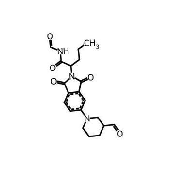 CCCC(C(=O)NC=O)N1C(=O)c2ccc(N3CCCC(C=O)C3)cc2C1=O